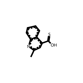 Cc1cc(C(O)=S)c2ccccc2n1